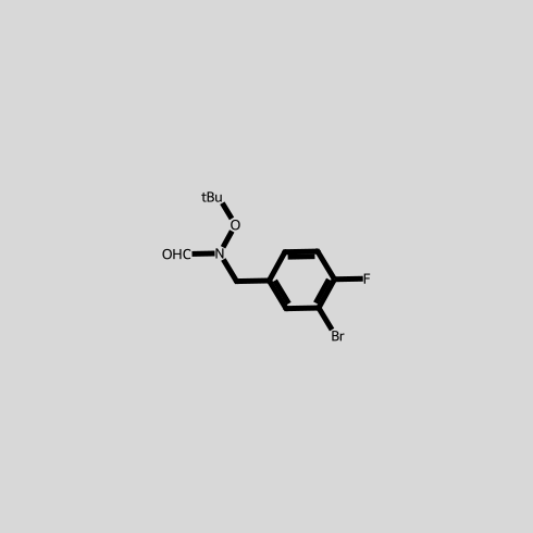 CC(C)(C)ON(C=O)Cc1ccc(F)c(Br)c1